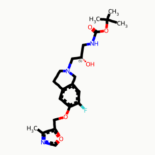 Cc1ncoc1COc1cc2c(cc1F)CN(C[C@@H](O)CNC(=O)OC(C)(C)C)CC2